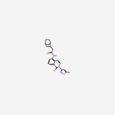 Cc1cc(-n2ccc3c(NC(=O)CC4CC5CCC4C5)cccc3c2=O)no1